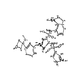 COC1(c2ccnc(-n3cc(S(=O)(=O)Nc4cccc5cnn(C)c45)c(NS(=O)(=O)c4cn[nH]c4)n3)c2)COC1